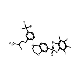 CC(F)CCc1cc(C(F)(F)F)ccc1[C@H]1CCOc2cc(S(=O)(=O)Oc3c(F)c(F)c(F)c(F)c3F)ccc21